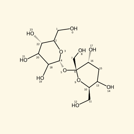 OCC1O[C@H](O[C@@]2(CO)O[C@H](CO)C(O)C[C@H]2O)C(O)C(O)[C@@H]1O